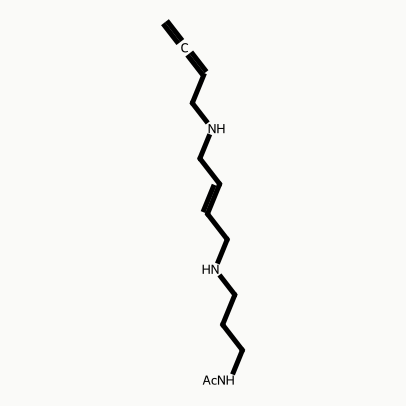 C=C=CCNC/C=C/CNCCCNC(C)=O